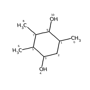 CC1CC(O)C(C)C(C)C1O